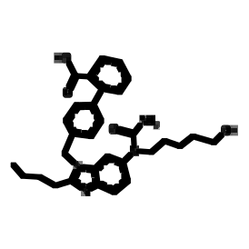 CCCCc1nc2ccc(N(CCCCCO)C(N)=O)cc2n1Cc1ccc(-c2ccccc2C(=O)O)cc1